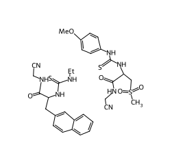 CCNC(=S)NC(Cc1ccc2ccccc2c1)C(=O)NCC#N.COc1ccc(NC(=S)NC(CS(C)(=O)=O)C(=O)NCC#N)cc1